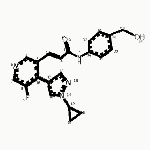 O=C(/C=C/c1cncc(F)c1-c1cnn(C2CC2)c1)Nc1ccc(CO)cc1